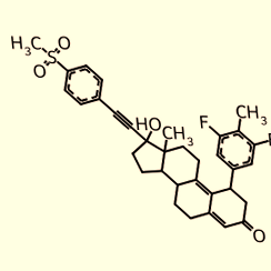 Cc1c(F)cc(C2CC(=O)C=C3CCC4C(=C32)CCC2(C)C4CCC2(O)C#Cc2ccc(S(C)(=O)=O)cc2)cc1F